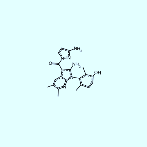 Cc1cc2c(C(=O)n3ccc(N)n3)c(N)n(-c3c(C)ccc(O)c3C)c2nc1C